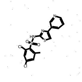 Cc1cc(Cl)cc(Cl)c1S(=O)(=O)Nc1nc(-c2cccnc2)cs1